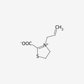 C=CC[N+]1=C(C(=O)[O-])SCC1